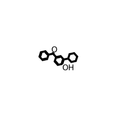 O=C(c1ccccc1)c1ccc(O)c(C2CCCCC2)c1